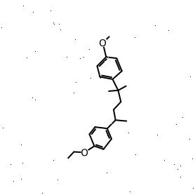 CCOc1ccc(C(C)CCC(C)(C)c2ccc(OC)cc2)cc1